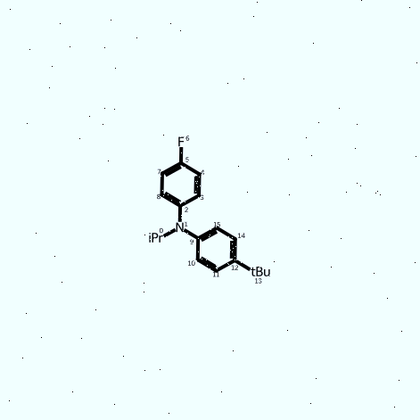 CC(C)N(c1ccc(F)cc1)c1ccc(C(C)(C)C)cc1